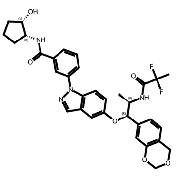 C[C@@H](NC(=O)C(C)(F)F)[C@H](Oc1ccc2c(cnn2-c2cccc(C(=O)N[C@@H]3CCC[C@@H]3O)c2)c1)c1ccc2c(c1)OCOC2